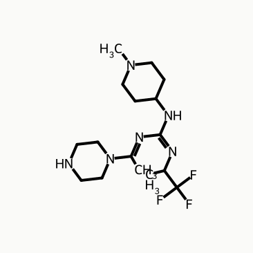 C/C(=N\C(=N/C(C)C(F)(F)F)NC1CCN(C)CC1)N1CCNCC1